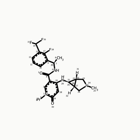 CC(C)n1cc(C(=O)N[C@H](C)c2cccc(C(F)F)c2F)c(N[C@H]2[C@@H]3CN(C)C[C@@H]32)cc1=O